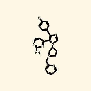 Nc1nccc(-c2c(-c3ccc(F)cc3)ncn2C2CCN(Cc3ccccn3)C2)n1